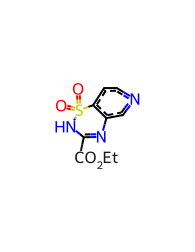 CCOC(=O)C1=Nc2cnccc2S(=O)(=O)N1